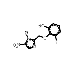 CCn1c([N+](=O)[O-])cnc1COc1c(F)cccc1C#N